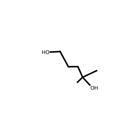 CC(C)(O)CC[CH]O